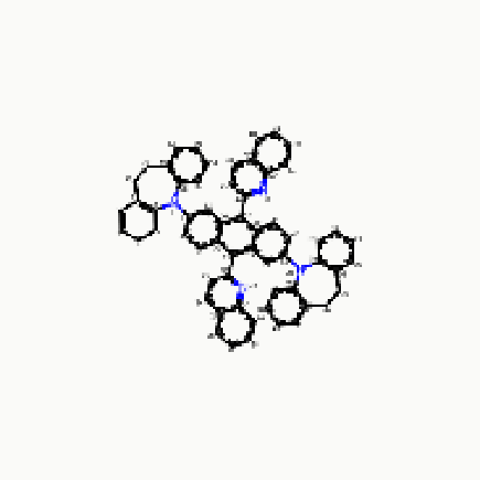 C1=CC2=C(CC1)N(c1ccc3c(-c4ccc5ccccc5n4)c4cc(N5c6ccccc6CCc6ccccc65)ccc4c(-c4ccc5ccccc5n4)c3c1)c1ccccc1CC2